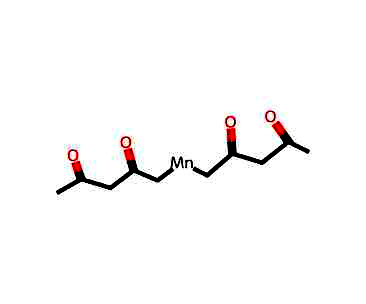 CC(=O)CC(=O)[CH2][Mn][CH2]C(=O)CC(C)=O